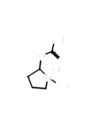 CC(=O)OC1CCC[N+]1(C)C